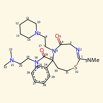 CN/C1=N/CC(=O)N(CCN2CCCCC2)C(C(=O)NCCN(C)C)(c2ccccc2)CCS1